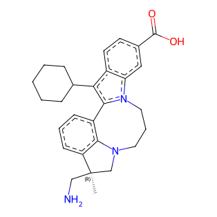 C[C@@]1(CN)CN2CCCn3c(c(C4CCCCC4)c4ccc(C(=O)O)cc43)-c3cccc1c32